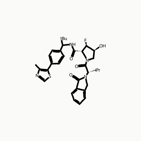 Cc1ncsc1-c1ccc(C(NC(=O)[C@@H]2[C@@H](F)[C@@H](O)CN2C(=O)[C@H](C(C)C)N2Cc3ccccc3C2=O)C(C)(C)C)cc1